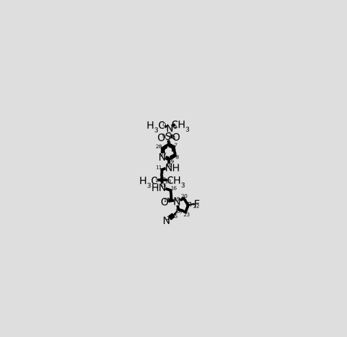 CN(C)S(=O)(=O)c1ccc(NCC(C)(C)NCC(=O)N2C[C@@H](F)C[C@H]2C#N)nc1